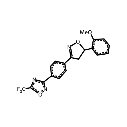 COc1ccccc1C1CC(c2ccc(-c3noc(C(F)(F)F)n3)cc2)=NO1